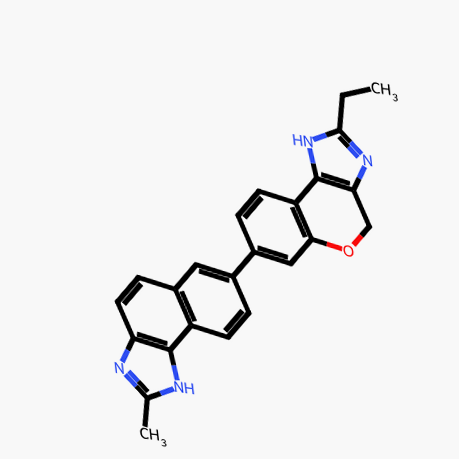 CCc1nc2c([nH]1)-c1ccc(-c3ccc4c(ccc5nc(C)[nH]c54)c3)cc1OC2